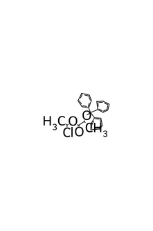 CC(Cl)OC(=O)C(C)OC(c1ccccc1)(c1ccccc1)c1ccccc1